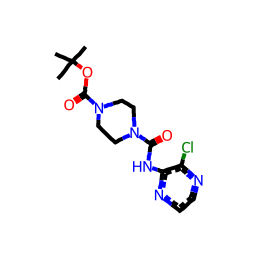 CC(C)(C)OC(=O)N1CCN(C(=O)Nc2nccnc2Cl)CC1